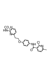 Cc1ccc(C(=O)Nc2ccc(OCCc3cccc(NC(=O)O)n3)cc2)c(Cl)n1